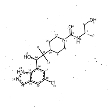 C[C@@H](CO)NC(=O)N1CCC(C(C)(C)[C@H](O)c2cc(Cl)cc3cn[nH]c23)CC1